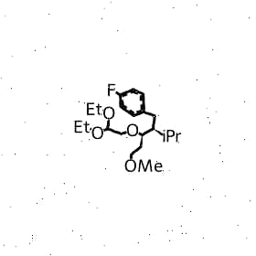 CCOC(CO[C@H](CCOC)[C@@H](Cc1ccc(F)cc1)C(C)C)OCC